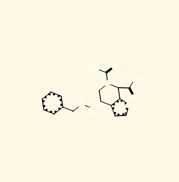 C[C@]1(C(=O)O)c2sccc2[C@H](NOCc2ccccc2)CN1C(=O)O